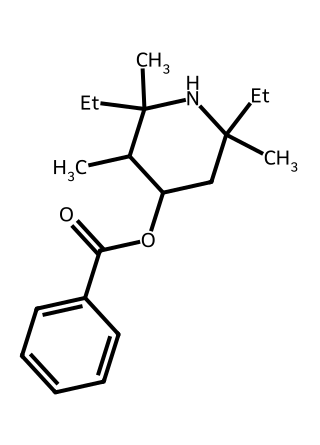 CCC1(C)CC(OC(=O)c2ccccc2)C(C)C(C)(CC)N1